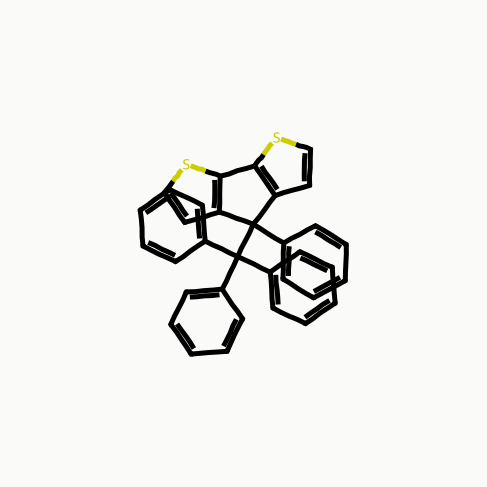 c1ccc(C(c2ccccc2)(c2ccccc2)C2(c3ccccc3)c3ccsc3-c3sccc32)cc1